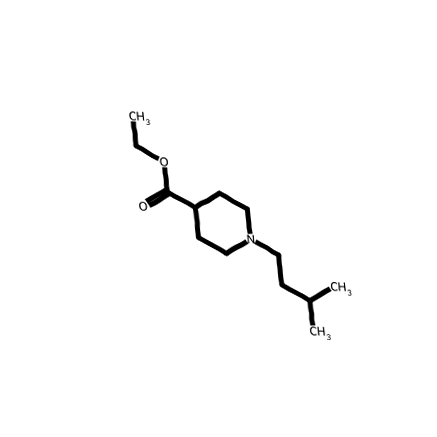 CCOC(=O)C1CCN(CCC(C)C)CC1